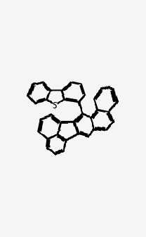 c1cc2c3c(cccc3c1)-c1c-2cc2ccc3ccccc3c2c1-c1cccc2c1sc1ccccc12